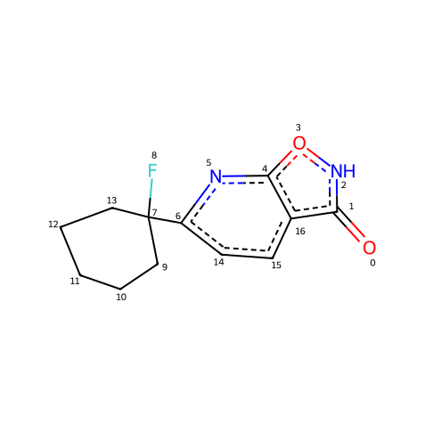 O=c1[nH]oc2nc(C3(F)CCCCC3)ccc12